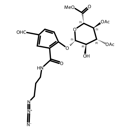 COC(=O)[C@H]1O[C@@H](Oc2ccc(C=O)cc2C(=O)NCCCN=[N+]=[N-])[C@H](O)[C@@H](OC(C)=O)[C@@H]1OC(C)=O